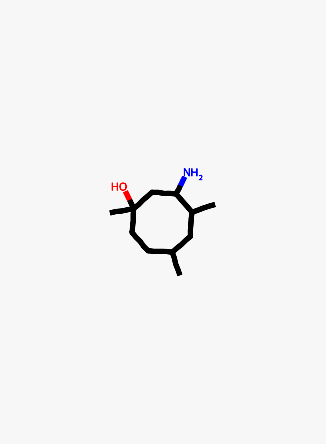 CC1CCC(C)(O)CC(N)C(C)C1